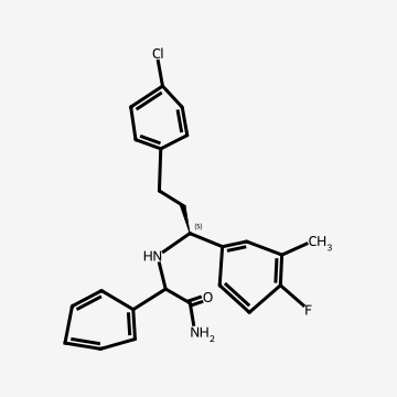 Cc1cc([C@H](CCc2ccc(Cl)cc2)NC(C(N)=O)c2ccccc2)ccc1F